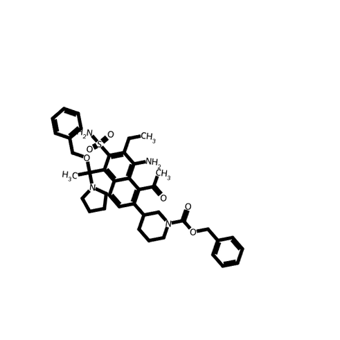 CCc1c(S(N)(=O)=O)c(C(C)(OCc2ccccc2)N2CCCC2)c2ccc(C3CCCN(C(=O)OCc4ccccc4)C3)c(C(C)=O)c2c1N